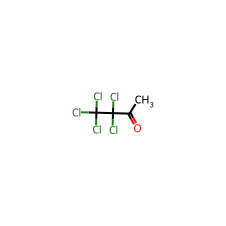 CC(=O)C(Cl)(Cl)C(Cl)(Cl)Cl